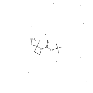 CC(C)(C)OC(=O)N1CCC1(F)CN